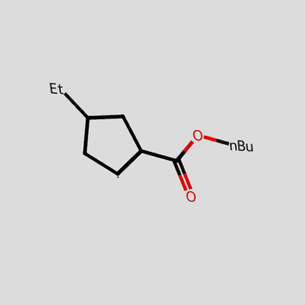 [CH2]CC1C[CH]C(C(=O)OCCCC)C1